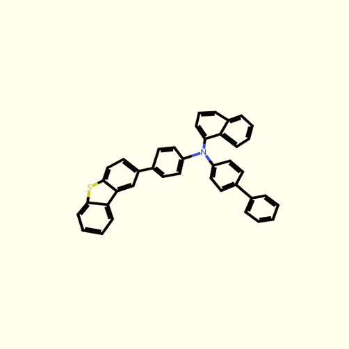 c1ccc(-c2ccc(N(c3ccc(-c4ccc5sc6ccccc6c5c4)cc3)c3cccc4ccccc34)cc2)cc1